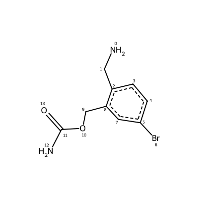 NCc1ccc(Br)cc1COC(N)=O